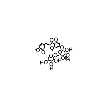 COc1ccc(/C=C/C(=O)c2c(OC)cc(OC3O[C@H](CO[C@H]4O[C@@H](C)[C@H](O)[C@@H](O)[C@H]4O)[C@@H](O)[C@H](O)[C@H]3O)cc2OC)cc1OC